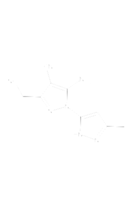 Cc1cc(-n2nc(CC#N)c(C#N)c2N)[nH]n1